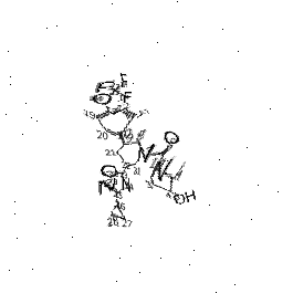 O=C(N1CC(O)C1)N1CC(c2ccc(OC(F)(F)F)cc2)CC(c2nc(C3CC3)no2)C1